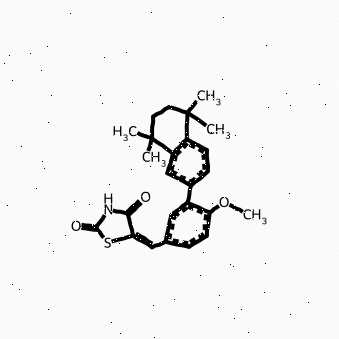 COc1ccc(C=C2SC(=O)NC2=O)cc1-c1ccc2c(c1)C(C)(C)CCC2(C)C